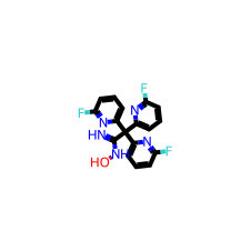 N=C(NO)C(c1cccc(F)n1)(c1cccc(F)n1)c1cccc(F)n1